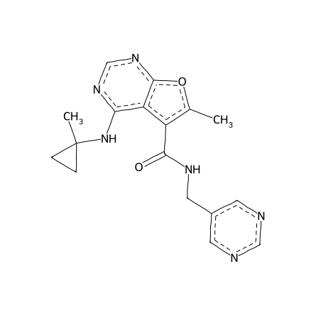 Cc1oc2ncnc(NC3(C)CC3)c2c1C(=O)NCc1cncnc1